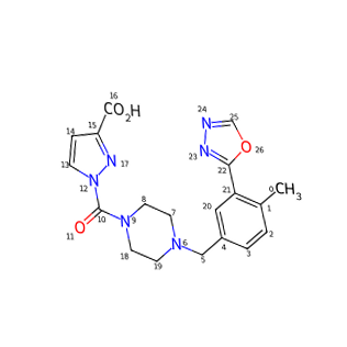 Cc1ccc(CN2CCN(C(=O)n3ccc(C(=O)O)n3)CC2)cc1-c1nnco1